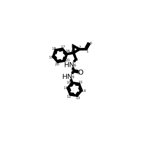 C=CC1CC1(CNC(=O)Nc1ccccc1)c1ccccc1